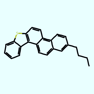 CCCCc1ccc2c(ccc3c2ccc2sc4ccccc4c23)c1